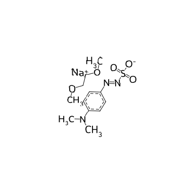 CN(C)c1ccc(/N=N/S(=O)(=O)[O-])cc1.COCCOC.[Na+]